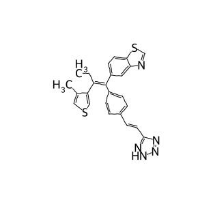 CC/C(=C(/c1ccc(/C=C/c2nn[nH]n2)cc1)c1ccc2scnc2c1)c1cscc1C